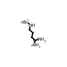 CCCCNCCCC(N)N